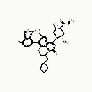 C=CC(=O)N1C[C@H](C)N(c2nc(=O)n3c4c(c(-c5ccc(F)c6cnn(C)c56)c(C)cc24)SCC3CN2CCCC2)C[C@H]1C